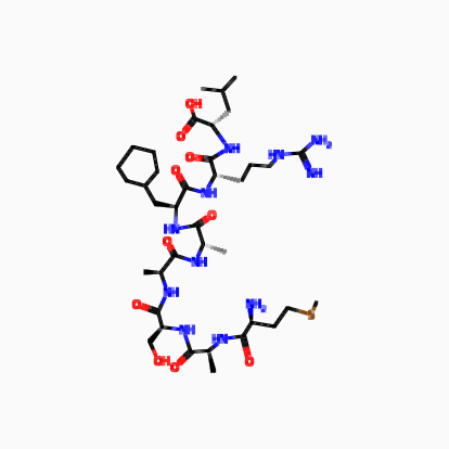 CSCC[C@H](N)C(=O)N[C@@H](C)C(=O)N[C@@H](CO)C(=O)N[C@@H](C)C(=O)N[C@@H](C)C(=O)N[C@@H](CC1CCCCC1)C(=O)N[C@@H](CCCNC(=N)N)C(=O)N[C@@H](CC(C)C)C(=O)O